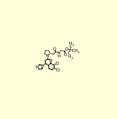 CC(C)(C)OC(=O)CNC(=O)C[C@@H]1CCCN1c1cc(-n2ccnc2)c2ccc(Cl)c(Cl)c2n1